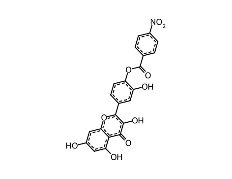 O=C(Oc1ccc(-c2oc3cc(O)cc(O)c3c(=O)c2O)cc1O)c1ccc([N+](=O)[O-])cc1